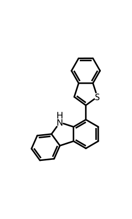 c1ccc2sc(-c3cccc4c3[nH]c3ccccc34)cc2c1